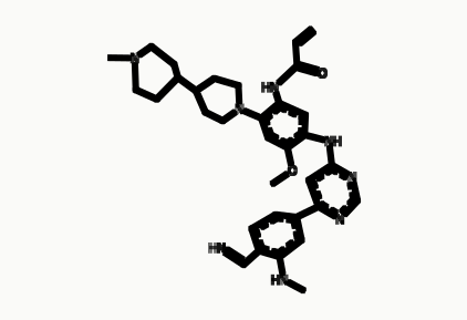 C=CC(=O)Nc1cc(Nc2cc(-c3ccc(C=N)c(NC)c3)ncn2)c(OC)cc1N1CCC(C2CCN(C)CC2)CC1